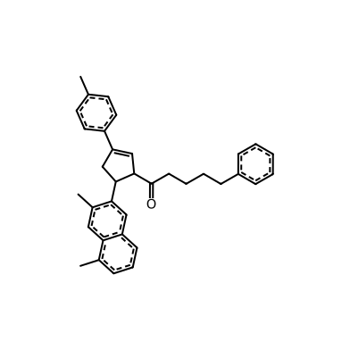 Cc1ccc(C2=CC(C(=O)CCCCc3ccccc3)C(c3cc4cccc(C)c4cc3C)C2)cc1